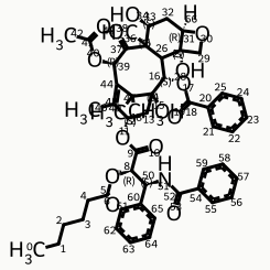 CCCCCC(=O)O[C@@H](C(=O)O[C@H]1C[C@@]2(O)[C@@H](OC(=O)c3ccccc3)C3[C@]4(O)CO[C@@H]4C[C@H](O)[C@@]3(C)C(=O)[C@H](OC(C)=O)C(=C1C)C2(C)C)[C@@H](NC(=O)c1ccccc1)c1ccccc1